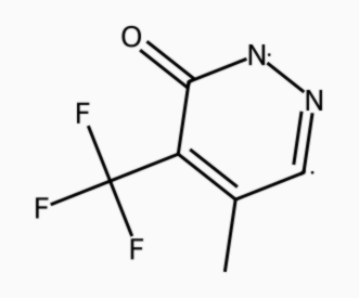 CC1=C(C(F)(F)F)C(=O)[N]N=[C]1